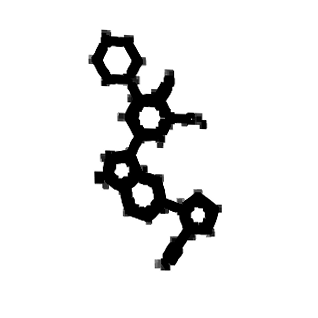 Cn1nc(-c2n[nH]c3ccc(-n4cccc4C#N)cc23)cc(N2CCOCC2)c1=O